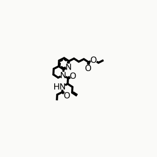 C=CCC(NC(=O)CC)C(=O)N1CCCc2ccc(CCCC(=O)OCC)nc21